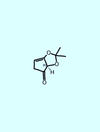 CC1(C)OC2=CCC(=O)[C@@H]2O1